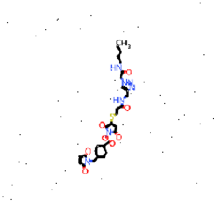 CCCCCNC(=O)Cn1cc(CNC(=O)CCSC2CC(=O)N(OC(=O)C3CCC(CN4C(=O)C=CC4=O)CC3)C2=O)nn1